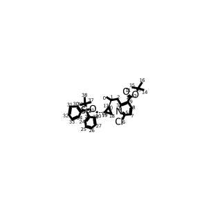 CC(Cc1nc(Cl)ccc1C(=O)OC(C)(C)C)[C@H]1C[C@@H]1CO[Si](c1ccccc1)(c1ccccc1)C(C)(C)C